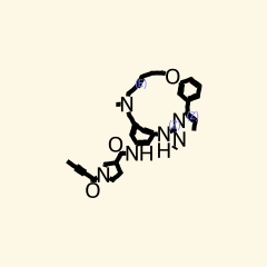 C=N/C1=N\C(=C/C)c2cccc(c2)OCC/C=C/CN(C)Cc2cc(NC(=O)C3CCN(C(=O)C#CC)C3)cc(c2)N1